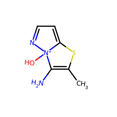 CC1=C(N)[N+]2(O)N=CC=C2S1